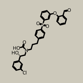 O=Cc1ccccc1Oc1cccc(S(=O)(=O)c2ccc(CCCN(C[C@@H](O)c3cccc(Cl)c3)C(=O)O)cc2)c1